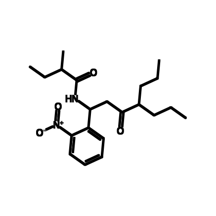 CCCC(CCC)C(=O)CC(NC(=O)C(C)CC)c1ccccc1[N+](=O)[O-]